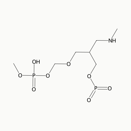 CNCC(COCOP(=O)(O)OC)COP(=O)=O